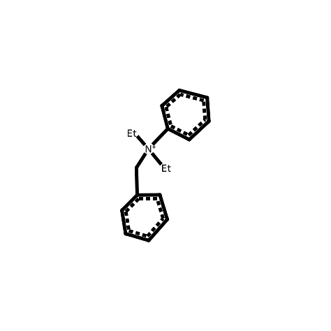 CC[N+](CC)(Cc1ccccc1)c1ccccc1